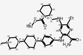 CCc1nc(C(N)=O)c(Nc2ccc(N3CCC(N4CCN(C)CC4)CC3)cc2)nc1NC[C@H]1CCCCN1C(=O)OC(C)(C)C